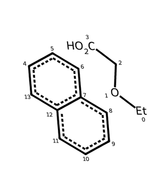 CCOCC(=O)O.c1ccc2ccccc2c1